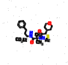 CCOC(=O)[C@H](CCc1ccccc1)NC(=O)C(C)(C)NC(=O)[C@@H](SC(C)=O)C1CCOCC1